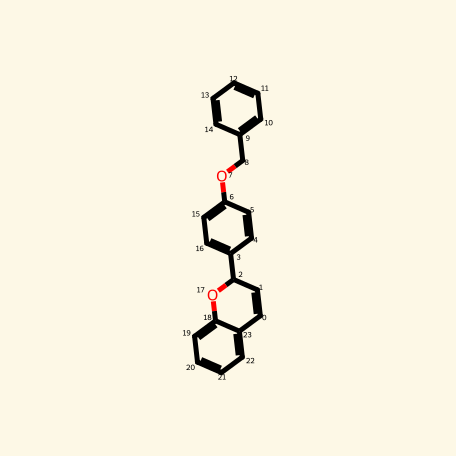 C1=CC(c2ccc(OCc3ccccc3)cc2)Oc2ccccc21